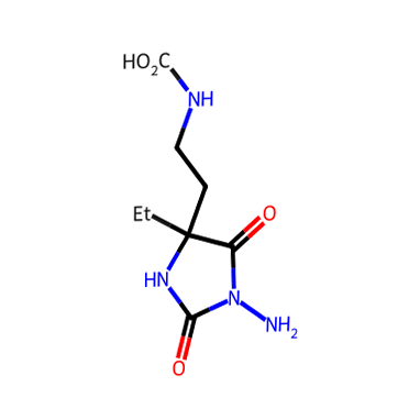 CCC1(CCNC(=O)O)NC(=O)N(N)C1=O